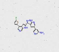 Nc1cncc(-c2cnc3[nH]nc(-c4cc5c(-c6ccc(F)s6)cncc5[nH]4)c3c2)c1